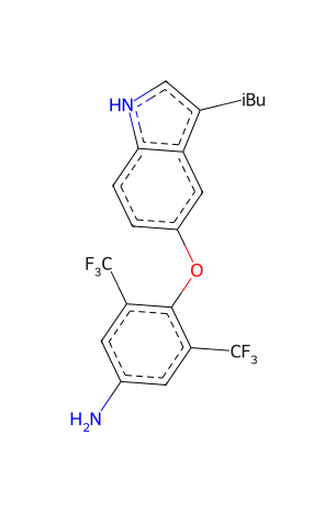 CCC(C)c1c[nH]c2ccc(Oc3c(C(F)(F)F)cc(N)cc3C(F)(F)F)cc12